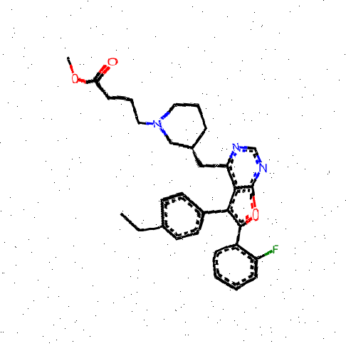 CCc1ccc(-c2c(-c3ccccc3F)oc3ncnc(C[C@@H]4CCCN(CCCC(=O)OC)C4)c23)cc1